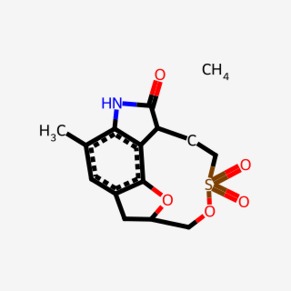 C.Cc1cc2c3c4c1NC(=O)C4CCS(=O)(=O)OCC(C2)O3